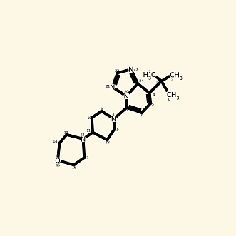 CC(C)(C)c1ccc(N2CCC(N3CCOCC3)CC2)n2ncnc12